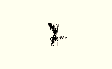 CCc1nc2sc(C3CCN(CC(=O)N4CC(O)C4)[C@@H](C(=O)OC)C3)nn2c1N(C)c1nc(-c2ccc(C)cc2)c(C#N)s1